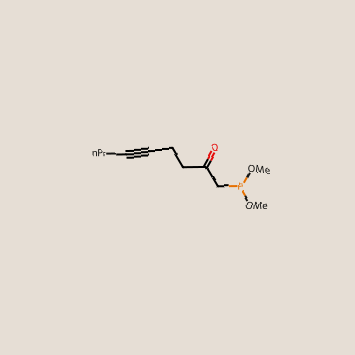 CCCC#CCCC(=O)CP(OC)OC